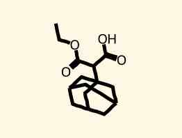 CCOC(=O)C(C(=O)O)C12CC3CC(CC(C3)C1)C2